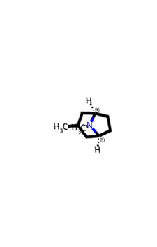 CC1C[C@H]2CC[C@@H](C1)N2C